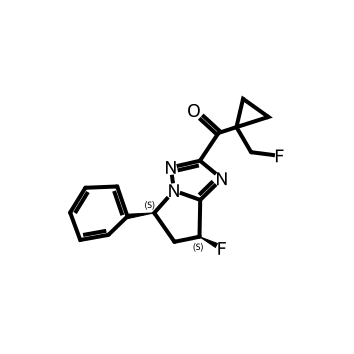 O=C(c1nc2n(n1)[C@H](c1ccccc1)C[C@@H]2F)C1(CF)CC1